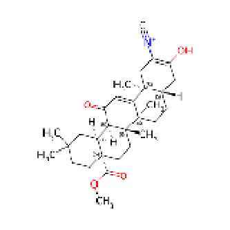 [C-]#[N+]C1=C(O)C[C@@H]2CC[C@]3(C)C(=CC(=O)[C@@H]4[C@@H]5CC(C)(C)CC[C@]5(C(=O)OC)CC[C@]43C)[C@@]2(C)C1